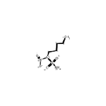 CCCCCN([N+](=O)[O-])S(N)(=O)=O